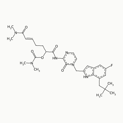 CN(C)C(=O)/C=C/CCC(OC(=O)N(C)C)C(=O)Nc1nccn(Cc2cc3cc(F)cc(CC(C)(C)C)c3[nH]2)c1=O